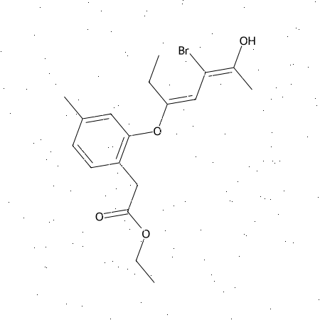 CCOC(=O)Cc1ccc(C)cc1O/C(=C/C(Br)=C(\C)O)CC